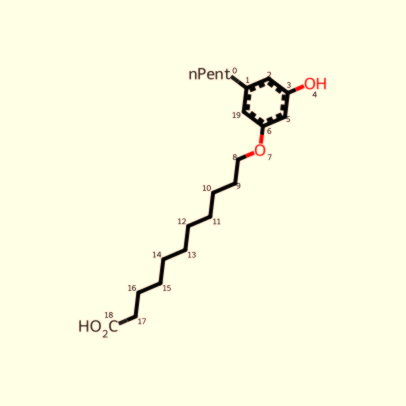 CCCCCc1cc(O)cc(OCCCCCCCCCCC(=O)O)c1